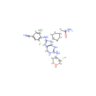 N#Cc1cc(F)c(Nc2nc3cnc(N[C@H]4CCOC[C@H]4F)nc3n2[C@H]2CC[C@@H](CC(N)=O)CC2)c(Cl)c1